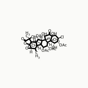 CC(=O)O[C@@H]1[C@H]2[C@H]3[C@H]([C@H](OC(C)=O)[C@H](OC(C)=O)[C@]2(C)[C@H]2C(C)[C@H]4O[C@]45OC(=O)[C@@](C)(O)[C@]5(C)[C@H]12)[C@@]1(C)[C@@H](O)[C@@H](OC(C)=O)[C@H](Cl)C[C@]1(O)C(=O)[C@@H]3O